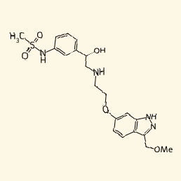 COCc1n[nH]c2cc(OCCNCC(O)c3cccc(NS(C)(=O)=O)c3)ccc12